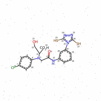 O=C(CN(c1ccc(Cl)cc1)C(CO)C(=O)O)Nc1cccc(-n2c(S)nnc2S)c1